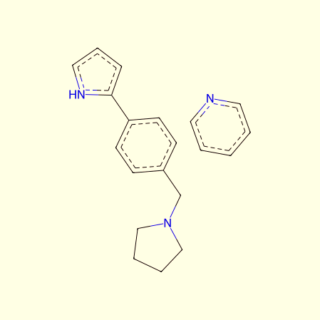 c1c[nH]c(-c2ccc(CN3CCCC3)cc2)c1.c1ccncc1